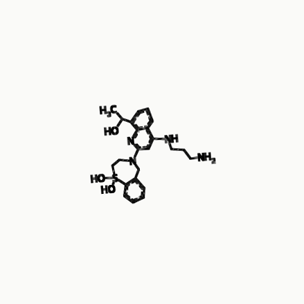 CC(O)c1cccc2c(NCCCN)cc(N3CCS(O)(O)c4ccccc4C3)nc12